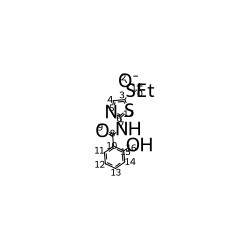 CC[S+]([O-])c1cnc(NC(=O)c2ccccc2O)s1